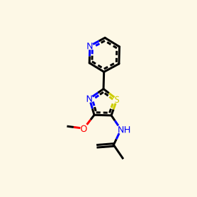 C=C(C)Nc1sc(-c2cccnc2)nc1OC